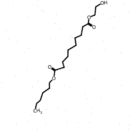 CCCCCCOC(=O)CCCCCCCCC(=O)OCCO